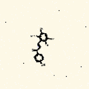 COc1c(C(C)C)cc(C(C)C)c(O)c1/C=C/C(=O)c1ccc(O)cc1